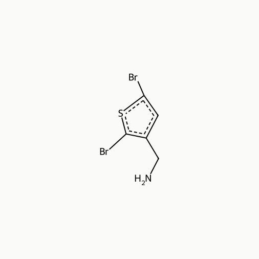 NCc1cc(Br)sc1Br